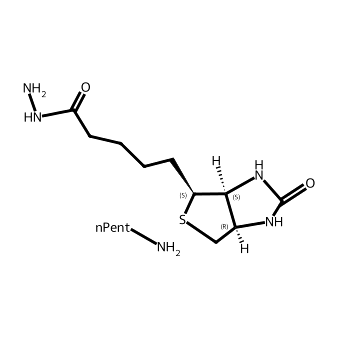 CCCCCN.NNC(=O)CCCC[C@@H]1SC[C@@H]2NC(=O)N[C@@H]21